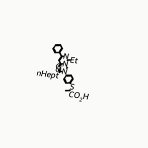 CCCCCCCC(=O)N(Cn1c(CC)nc(-c2ccccc2)cc1=O)c1ccc(SC(C)C(=O)O)cc1